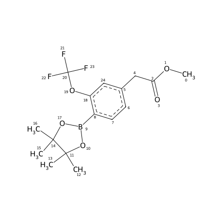 COC(=O)Cc1ccc(B2OC(C)(C)C(C)(C)O2)c(OC(F)(F)F)c1